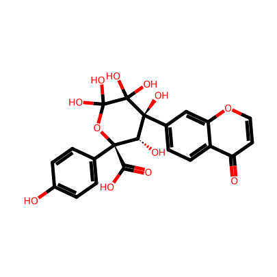 O=C(O)[C@@]1(c2ccc(O)cc2)OC(O)(O)C(O)(O)[C@](O)(c2ccc3c(=O)ccoc3c2)[C@@H]1O